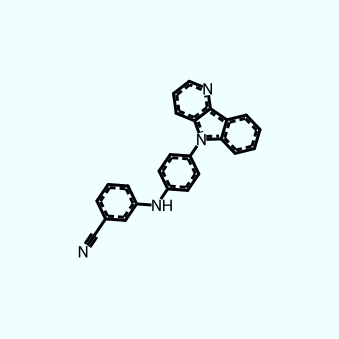 N#Cc1cccc(Nc2ccc(-n3c4ccccc4c4ncccc43)cc2)c1